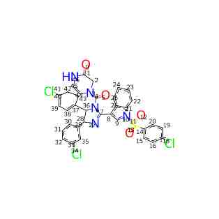 O=C1CN(C(=O)N2C(c3cn(S(=O)(=O)c4ccc(Cl)cc4)c4ccccc34)=NC(c3cccc(Cl)c3)C2C2=CC=C(Cl)CC2)C=CN1